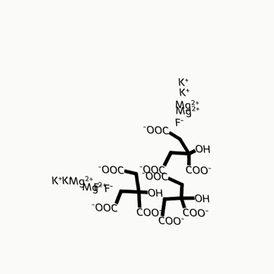 O=C([O-])CC(O)(CC(=O)[O-])C(=O)[O-].O=C([O-])CC(O)(CC(=O)[O-])C(=O)[O-].O=C([O-])CC(O)(CC(=O)[O-])C(=O)[O-].[F-].[F-].[F-].[K+].[K+].[K+].[K+].[Mg+2].[Mg+2].[Mg+2].[Mg+2]